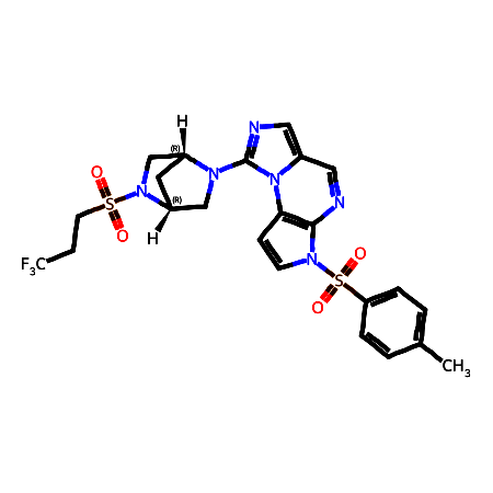 Cc1ccc(S(=O)(=O)n2ccc3c2ncc2cnc(N4C[C@H]5C[C@@H]4CN5S(=O)(=O)CCC(F)(F)F)n23)cc1